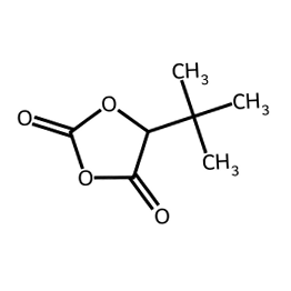 CC(C)(C)C1OC(=O)OC1=O